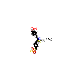 CC(=O)Nc1nc(CCc2ccc(CO)cc2)c(Cc2ccc(C[SH](=O)=O)cc2)s1